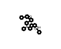 c1ccc(-c2ccc3oc4cccc(-c5cccc(N(c6ccccc6)c6cccc7c6ccc6ccc8c(c67)OC(c6ccccc6)N8)c5)c4c3c2)cc1